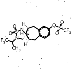 CC(N1C[C@]2(NS1(=O)=O)[C@@H]1CC[C@H]2Cc2ccc(OS(=O)(=O)C(F)(F)F)cc2C1)C(F)(F)F